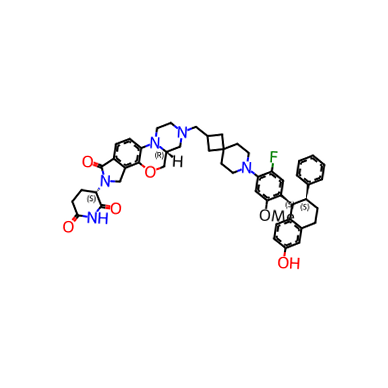 COc1cc(N2CCC3(CC2)CC(CN2CCN4c5ccc6c(c5OC[C@H]4C2)CN([C@H]2CCC(=O)NC2=O)C6=O)C3)c(F)cc1[C@@H]1c2ccc(O)cc2CC[C@@H]1c1ccccc1